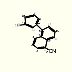 N#Cc1cccc2c(-c3cccc(I)c3)cccc12